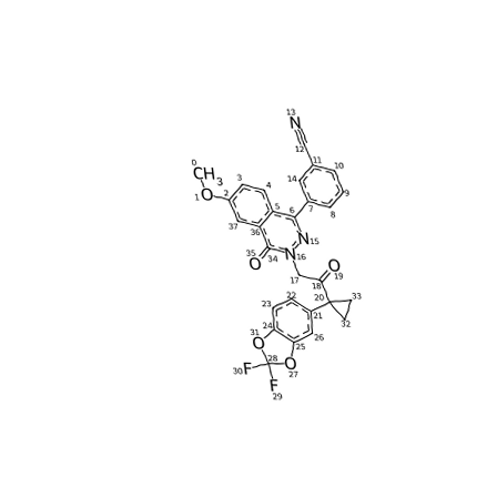 COc1ccc2c(-c3cccc(C#N)c3)nn(CC(=O)C3(c4ccc5c(c4)OC(F)(F)O5)CC3)c(=O)c2c1